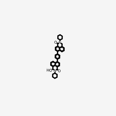 O=C1c2ccc(-c3ccc(-c4ccc5c6c(cccc46)C(O)N(C4CCCCC4)C5=O)cc3)c3cccc(c23)CN1C1CCCCC1